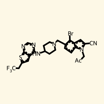 CC(=O)Cn1c(C#N)cc2c(Br)c(CN3CCC(Nc4ncnc5sc(CC(F)(F)F)cc45)CC3)ccc21